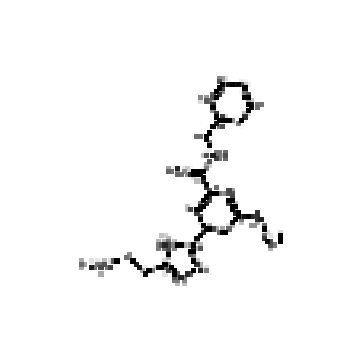 O=C(O)CSc1nnc(-c2cc(NO)cc(C(=O)NCc3ccccc3)c2)[nH]1